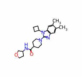 Cc1cc2nc(N3CCC(C(=O)NC4CCOC4)CC3)n(C3CCC3)c2cc1C